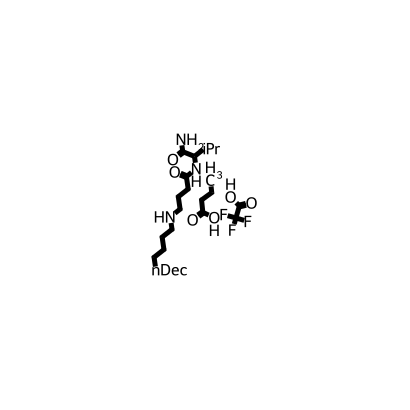 CCCC(=O)O.CCCCCCCCCCCCCCNCCCC(=O)NC(C(N)=O)C(C)C.O=C(O)C(F)(F)F